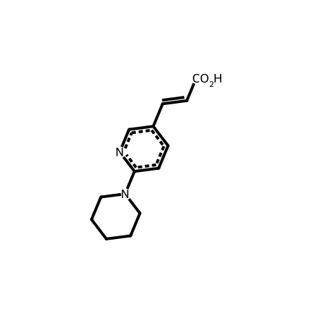 O=C(O)C=Cc1ccc(N2CCCCC2)nc1